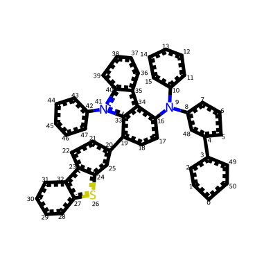 c1ccc(-c2cccc(N(c3ccccc3)c3ccc(-c4ccc5c(c4)sc4ccccc45)c4c3c3ccccc3n4-c3ccccc3)c2)cc1